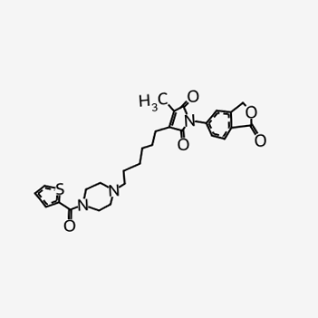 CC1=C(CCCCCCN2CCN(C(=O)c3cccs3)CC2)C(=O)N(c2ccc3c(c2)COC3=O)C1=O